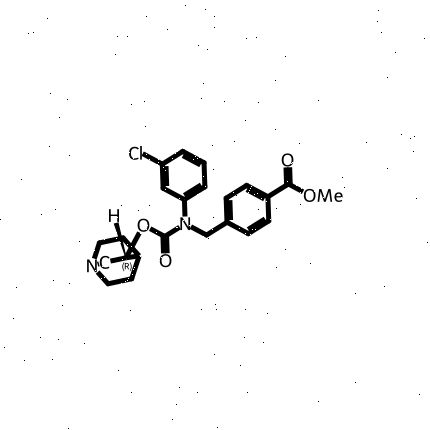 COC(=O)c1ccc(CN(C(=O)O[C@H]2CN3CCC2CC3)c2cccc(Cl)c2)cc1